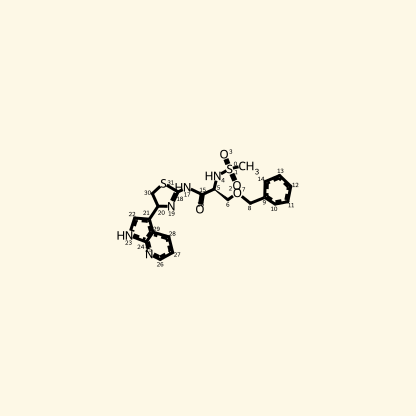 CS(=O)(=O)N[C@@H](COCc1ccccc1)C(=O)NC1=NC(c2c[nH]c3ncccc23)CS1